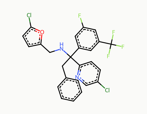 Fc1cc(C(F)(F)F)cc(C(Cc2ccccc2)(NCc2ccc(Cl)o2)c2ccc(Cl)cn2)c1